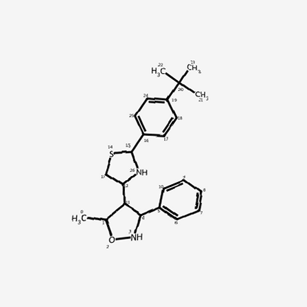 CC1ONC(c2ccccc2)C1C1CSC(c2ccc(C(C)(C)C)cc2)N1